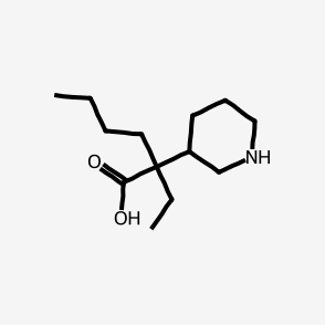 CCCCC(CC)(C(=O)O)C1CCCNC1